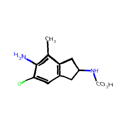 Cc1c(N)c(Cl)cc2c1CC(NC(=O)O)C2